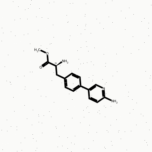 COC(=O)[C@@H](N)Cc1ccc(-c2ccc(N)nc2)cc1